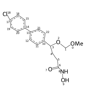 COCOC(CCC(=O)NO)c1ccc(-c2ccc(Cl)cc2)cc1